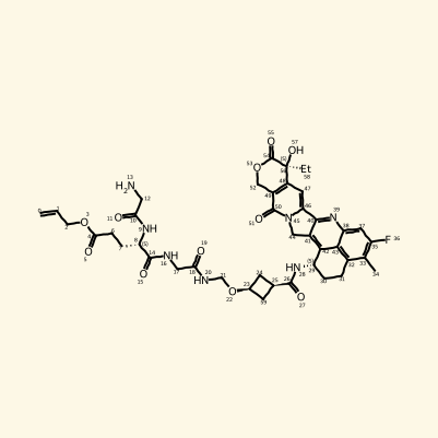 C=CCOC(=O)CC[C@H](NC(=O)CN)C(=O)NCC(=O)NCO[C@H]1C[C@@H](C(=O)N[C@H]2CCc3c(C)c(F)cc4nc5c(c2c34)Cn2c-5cc3c(c2=O)COC(=O)[C@]3(O)CC)C1